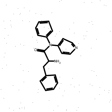 NC(Cc1ccccc1)C(=O)N(c1ccccc1)c1ccncc1